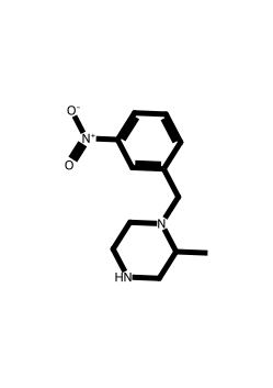 CC1CNCCN1Cc1cccc([N+](=O)[O-])c1